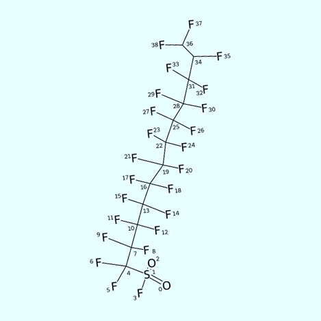 O=S(=O)(F)C(F)(F)C(F)(F)C(F)(F)C(F)(F)C(F)(F)C(F)(F)C(F)(F)C(F)(F)C(F)(F)C(F)(F)C(F)C(F)F